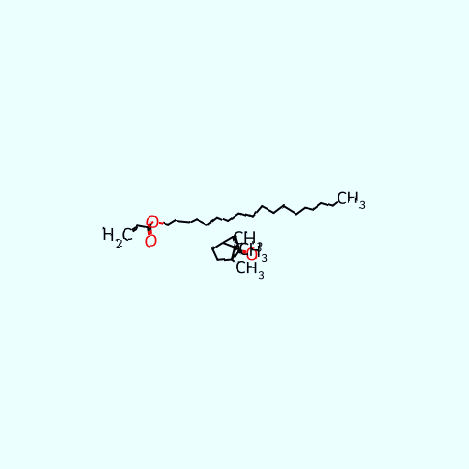 C=CC(=O)OCCCCCCCCCCCCCCCCCC.CC12CCC(CC1=O)C2(C)C